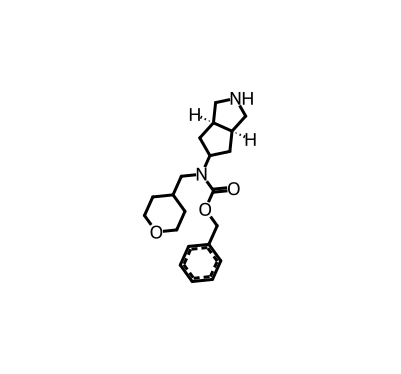 O=C(OCc1ccccc1)N(CC1CCOCC1)C1C[C@H]2CNC[C@H]2C1